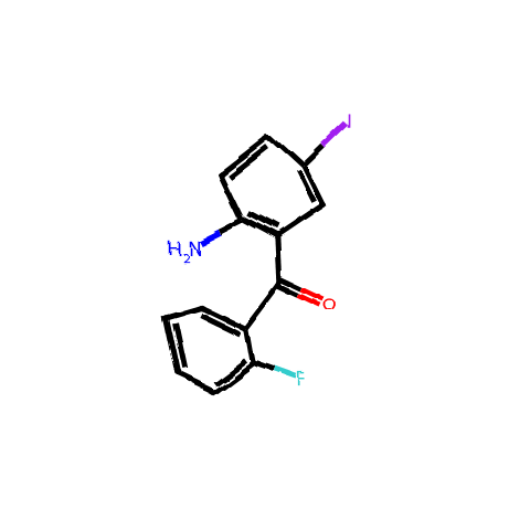 Nc1ccc(I)cc1C(=O)c1ccccc1F